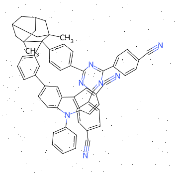 CC12CC3CC(C1)CC(C)(C3)C2(c1ccc(-c2nc(-c3ccc(C#N)cc3)nc(-c3ccc(C#N)cc3)n2)cc1)c1cccc(-c2ccc3c(c2)c2cc(C#N)ccc2n3-c2ccccc2)c1